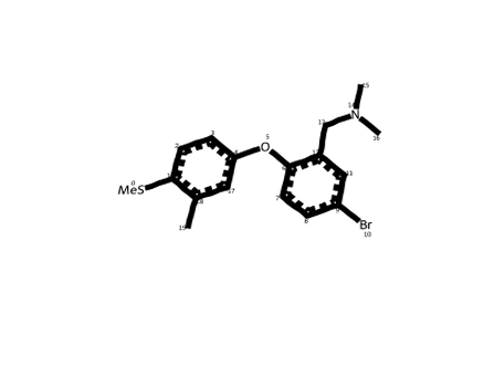 CSc1ccc(Oc2ccc(Br)cc2CN(C)C)cc1C